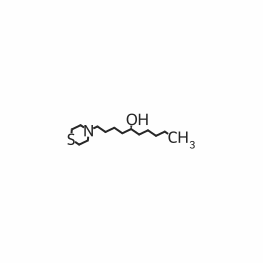 CCCCC[C@H](O)CCCCN1CCSCC1